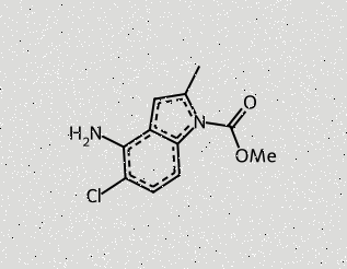 COC(=O)n1c(C)cc2c(N)c(Cl)ccc21